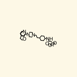 CS(=O)(=O)CC(=O)NC1CCC(CCN2CCN(c3nccc4c3OCC4)CC2)CC1